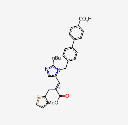 CCCCc1ncc(/C=C(\Cc2cccs2)C(=O)OC)n1Cc1ccc(-c2ccc(C(=O)O)cc2)cc1